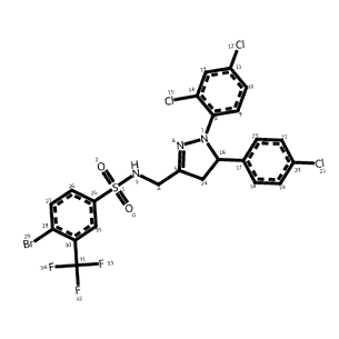 O=S(=O)(NCC1=NN(c2ccc(Cl)cc2Cl)C(c2ccc(Cl)cc2)C1)c1ccc(Br)c(C(F)(F)F)c1